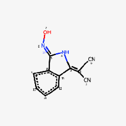 N#CC(C#N)=C1N/C(=N\O)c2ccccc21